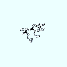 N#CSOC(=O)C(=O)O.N#CSOC(=O)C(=O)O.O=P([O-])(O)O.[Li+]